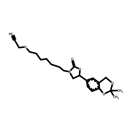 C#CCOCCCCCCCN1CC(c2ccc3c(c2)COC(C)(C)O3)OC1=O